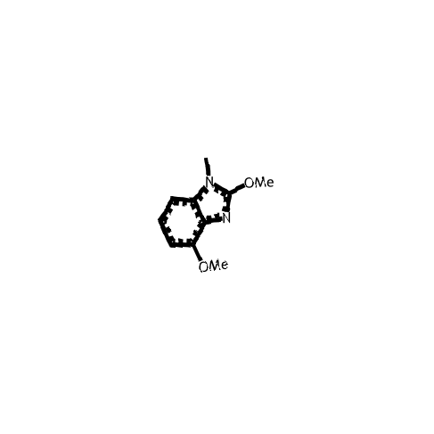 COc1cccc2c1nc(OC)n2C